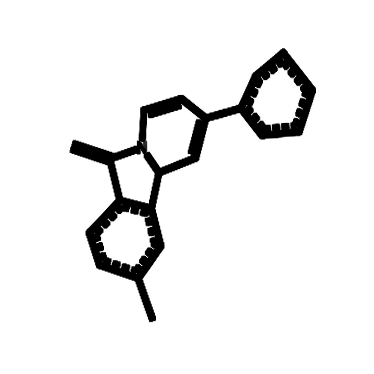 C=C1c2ccc(C)cc2C2C=C(c3ccccc3)C=CN12